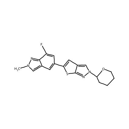 Cn1cc2cc(-c3cc4cn(C5CCCCO5)nc4s3)cc(F)c2n1